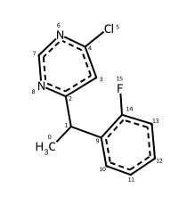 CC(c1cc(Cl)ncn1)c1ccccc1F